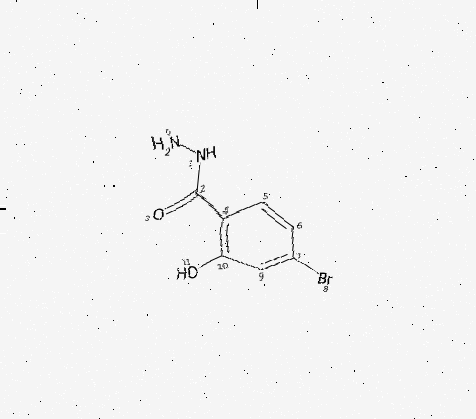 NNC(=O)c1ccc(Br)cc1O